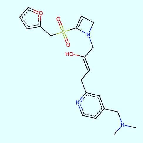 CN(C)Cc1ccnc(C/C=C(\O)CN2CC=C2S(=O)(=O)Cc2ccco2)c1